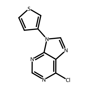 Clc1ncnc2c1ncn2-c1ccsc1